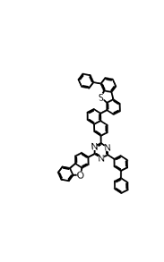 c1ccc(-c2cccc(-c3nc(-c4ccc5c(-c6cccc7c6sc6c(-c8ccccc8)cccc67)cccc5c4)nc(-c4ccc5c(c4)oc4ccccc45)n3)c2)cc1